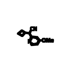 COc1ccnc(C(C#N)C2CCC2)c1